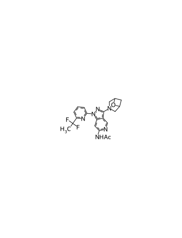 CC(=O)Nc1cc2c(cn1)c(N1CC3CC(C1)O3)nn2-c1cccc(C(C)(F)F)n1